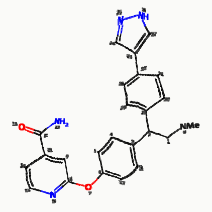 CNCC(c1ccc(Oc2cc(C(N)=O)ccn2)cc1)c1ccc(-c2cn[nH]c2)cc1